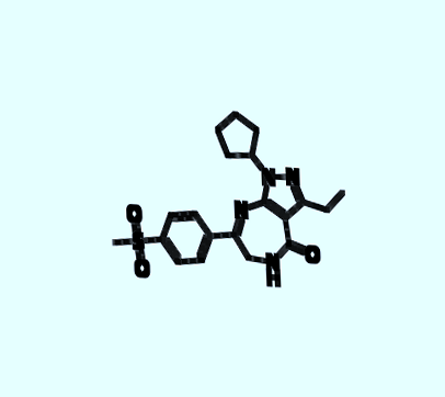 CCc1nn(C2CCCC2)c2c1C(=O)NCC(c1ccc(S(C)(=O)=O)cc1)=N2